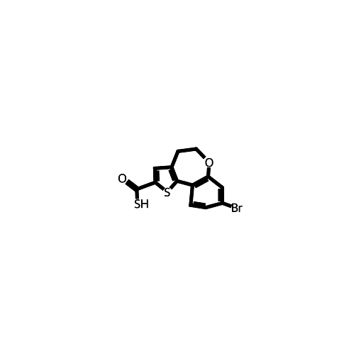 O=C(S)c1cc2c(s1)-c1ccc(Br)cc1OCC2